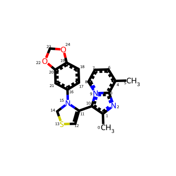 Cc1nc2c(C)cccn2c1C1=CSCN1c1ccc2c(c1)OCO2